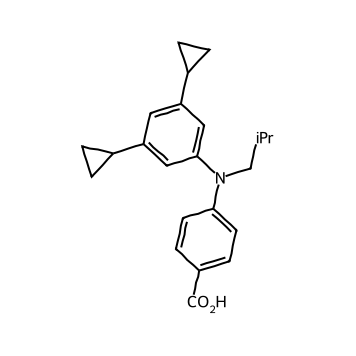 CC(C)CN(c1ccc(C(=O)O)cc1)c1cc(C2CC2)cc(C2CC2)c1